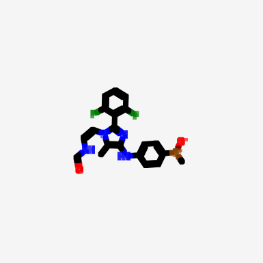 Cc1c(Nc2ccc([S+](C)[O-])cc2)nc(-c2c(F)cccc2F)n1/C=C\NC=O